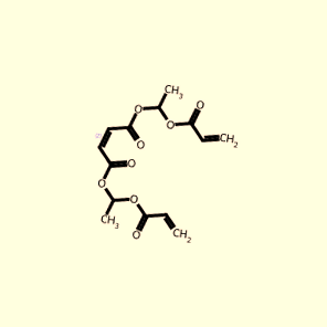 C=CC(=O)OC(C)OC(=O)/C=C\C(=O)OC(C)OC(=O)C=C